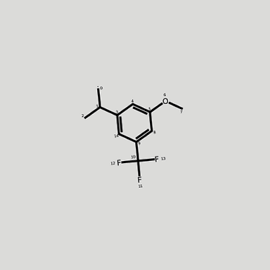 [CH2]C(C)c1cc(OC)cc(C(F)(F)F)c1